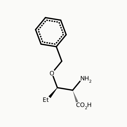 CC[C@@H](OCc1ccccc1)[C@H](N)C(=O)O